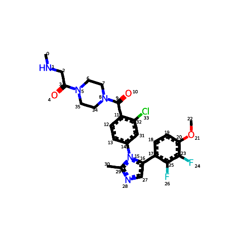 CNCC(=O)N1CCN(C(=O)c2ccc(-n3c(-c4ccc(OC)c(F)c4F)cnc3C)cc2Cl)CC1